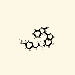 COc1ccc(CC(=O)Nc2ccc3c(c2)/C(=C2/C(=O)Nc4ccccc42)OC3)cc1